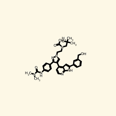 CN(C)C(=O)Nc1ccc(-c2nn(CCN(CC(C)(C)C)C(=O)O)cc2-c2ccnc3[nH]c(-c4cccc(CO)c4)cc23)cc1